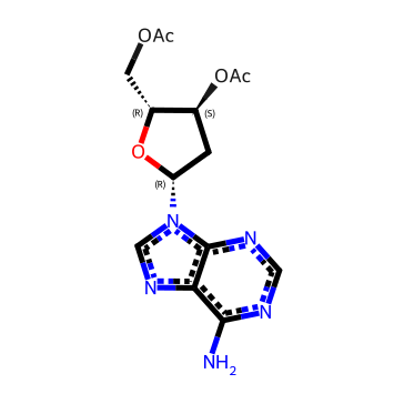 CC(=O)OC[C@H]1O[C@@H](n2cnc3c(N)ncnc32)C[C@@H]1OC(C)=O